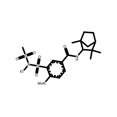 CCN(S(C)(=O)=O)S(=O)(=O)c1cc(C(=O)NC2C3(C)CCC(C3)C2(C)C)ccc1NC